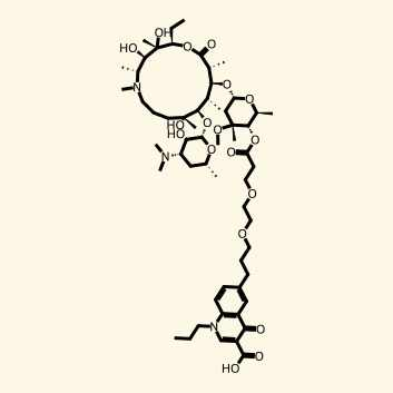 CCCn1cc(C(=O)O)c(=O)c2cc(CCCOCCOCCC(=O)O[C@H]3[C@H](C)O[C@@H](O[C@H]4[C@H](C)[C@@H](O[C@@H]5O[C@H](C)C[C@H](N(C)C)[C@H]5O)[C@](C)(O)CCCN(C)[C@H](C)[C@@H](O)[C@](C)(O)[C@@H](CC)OC(=O)[C@@H]4C)C[C@@]3(C)OC)ccc21